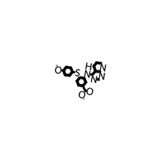 COC(=O)c1ccc(Sc2ccc(OC)cc2)c(Nc2ncnc3ncccc23)c1